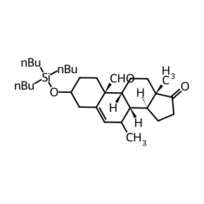 CCCC[Si](CCCC)(CCCC)OC1CC[C@@]2(C=O)C(=CC(C)[C@@H]3[C@H]2CC[C@]2(C)C(=O)CC[C@@H]32)C1